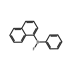 FB(c1ccccc1)c1cccc2ccccc12